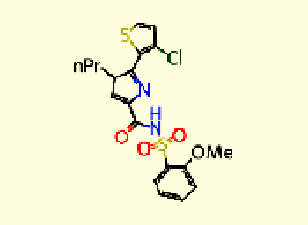 CCCC1C=C(C(=O)NS(=O)(=O)c2ccccc2OC)N=C1c1sccc1Cl